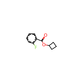 O=C(OC1CCC1)c1ccccc1F